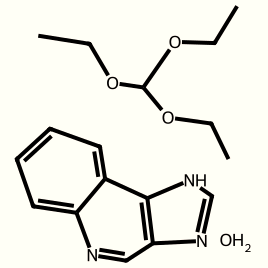 CCOC(OCC)OCC.O.c1ccc2c(c1)ncc1nc[nH]c12